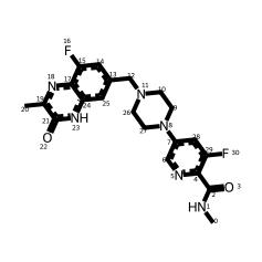 CNC(=O)c1ncc(N2CCN(Cc3cc(F)c4nc(C)c(=O)[nH]c4c3)CC2)cc1F